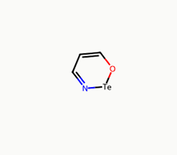 C1=CO[Te]N=C1